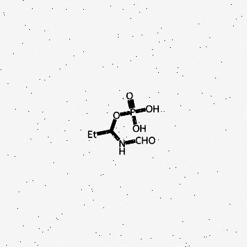 CCC(NC=O)OP(=O)(O)O